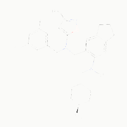 CCN(C[C@H]1CC[C@H](C(=O)O)CC1)c1cc2c(cc1CN(Cc1cc(C(F)(F)F)cc(C(F)(F)F)c1)c1cc(C)no1)CCC2